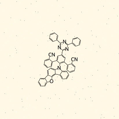 N#Cc1ccccc1-c1cc(-c2nc(-c3ccccc3)nc(-c3ccccc3)n2)cc(-c2ccccc2C#N)c1-n1c2ccccc2c2c3oc4ccccc4c3ccc21